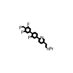 CCC/C=C/c1ccc(-c2ccc(-c3cc(F)c(CF)c(F)c3)c(F)c2)nc1